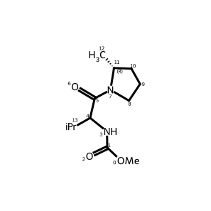 COC(=O)NC(C(=O)N1CCC[C@H]1C)C(C)C